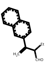 C=C(c1ccc2ccccc2c1)C(C=O)CC